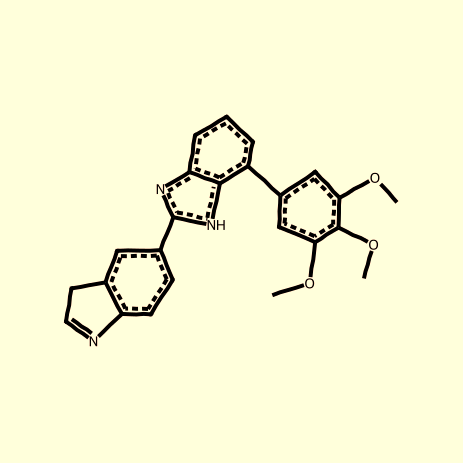 COc1cc(-c2cccc3nc(-c4ccc5c(c4)CC=N5)[nH]c23)cc(OC)c1OC